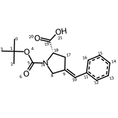 CC(C)(C)OC(=O)N1CC(=Cc2ccccc2)C[C@H]1C(=O)O